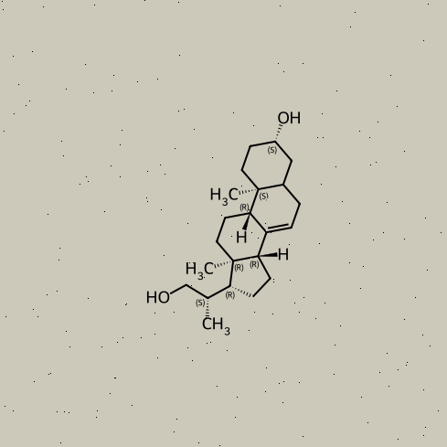 C[C@H](CO)[C@H]1CC[C@H]2C3=CCC4C[C@@H](O)CC[C@]4(C)[C@H]3CC[C@]12C